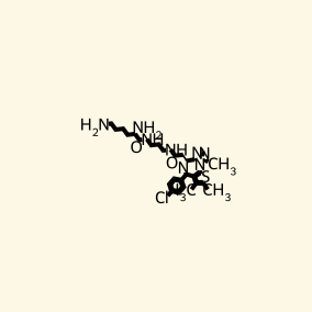 Cc1sc2c(c1C)C(c1ccc(Cl)cc1)=N[C@@H](CC(=O)NCCCNC(=O)C(N)CCCCN)c1nnc(C)n1-2